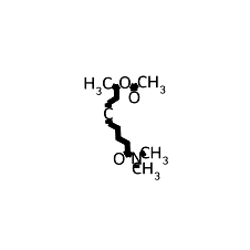 CC(=O)OC(C)CC=C=CCCCC(=O)N(C)C